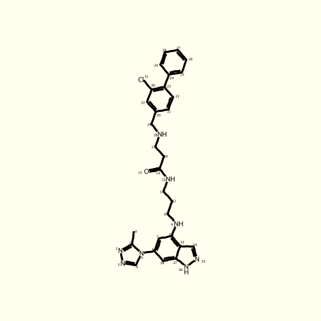 Cc1nncn1-c1cc(NCCCNC(=O)CCNCc2ccc(-c3ccccc3)c(Cl)c2)c2cn[nH]c2c1